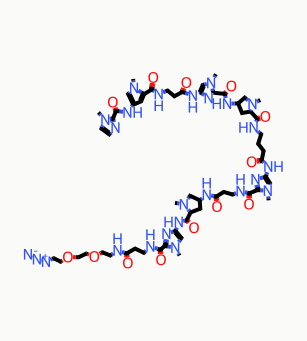 CN1CC(NC(=O)c2nc(NC(=O)CCNC(=O)c3cc(NC(=O)c4nccn4C)cn3C)cn2C)CC1C(=O)NCCCC(=O)Nc1cn(C)c(C(=O)NCCC(=O)NC2CC(C(=O)Nc3cn(C)c(C(=O)NCCC(=O)NCCOCCOCCN=[N+]=[N-])n3)N(C)C2)n1